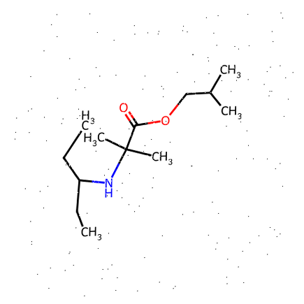 CCC(CC)NC(C)(C)C(=O)OCC(C)C